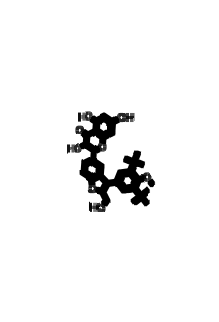 COc1c(C(C)(C)C)cc(C2c3cc(C4Oc5cc(O)cc(O)c5C(=O)C4O)ccc3OC2CO)cc1C(C)(C)C